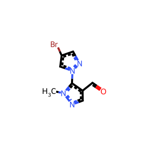 Cn1ncc(C=O)c1-n1cc(Br)cn1